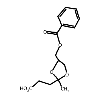 CC1(CCC(=O)O)OCC(COC(=O)c2ccccc2)O1